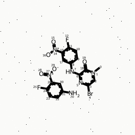 Cn1cc(Br)nc(Nc2ccc(F)c([N+](=O)[O-])c2)c1=O.Nc1ccc(F)c([N+](=O)[O-])c1